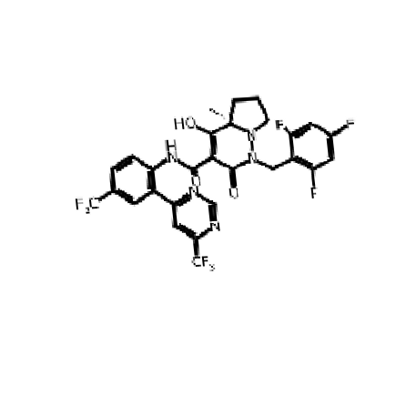 C[C@]12CCCN1N(Cc1c(F)cc(F)cc1F)C(=O)C(C(=O)Nc1ccc(C(F)(F)F)cc1-c1cc(C(F)(F)F)ncn1)=C2O